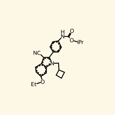 CCOc1ccc2c(C#N)c(-c3ccc(NC(=O)OC(C)C)cc3)n(CC3CCC3)c2c1